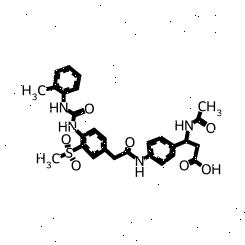 CC(=O)NC(CC(=O)O)c1ccc(NC(=O)Cc2ccc(NC(=O)Nc3ccccc3C)c(S(C)(=O)=O)c2)cc1